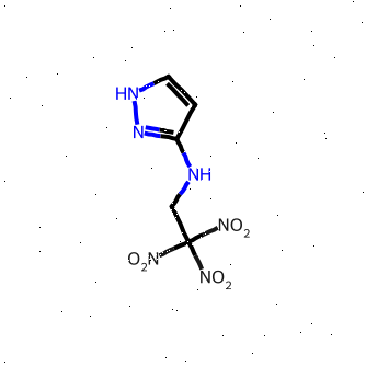 O=[N+]([O-])C(CNc1cc[nH]n1)([N+](=O)[O-])[N+](=O)[O-]